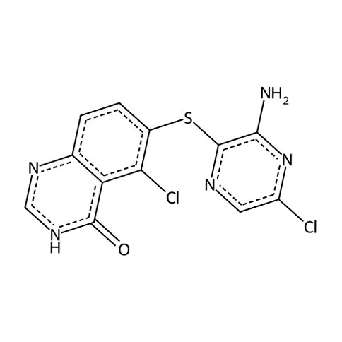 Nc1nc(Cl)cnc1Sc1ccc2nc[nH]c(=O)c2c1Cl